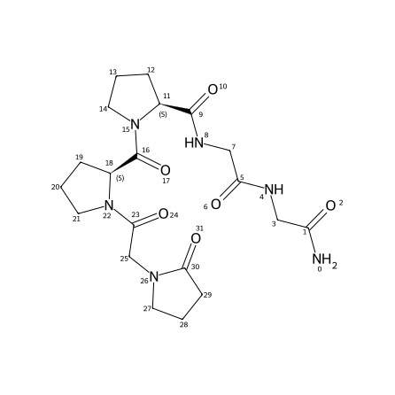 NC(=O)CNC(=O)CNC(=O)[C@@H]1CCCN1C(=O)[C@@H]1CCCN1C(=O)CN1CCCC1=O